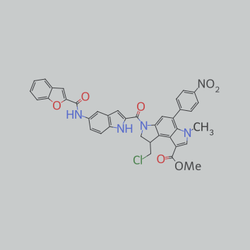 COC(=O)c1cn(C)c2c(-c3ccc([N+](=O)[O-])cc3)cc3c(c12)C(CCl)CN3C(=O)c1cc2cc(NC(=O)c3cc4ccccc4o3)ccc2[nH]1